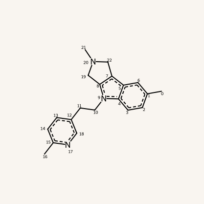 Cc1ccc2c(c1)c1c(n2CCc2ccc(C)nc2)CN(C)C1